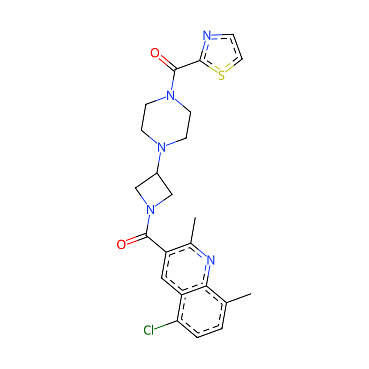 Cc1nc2c(C)ccc(Cl)c2cc1C(=O)N1CC(N2CCN(C(=O)c3nccs3)CC2)C1